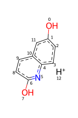 Oc1ccc2nc(O)ccc2c1.[H+]